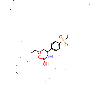 CCOCC(NC(=O)O)c1ccc(S(=O)(=O)CC)cc1